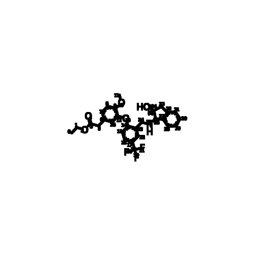 CCOC(=O)Cc1ccc(OC)c(Oc2ccc(C(F)(F)F)cc2CN[C@@H]2c3ccccc3C[C@@H]2O)c1